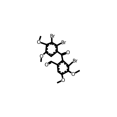 COc1cc(C(=O)c2c(C=O)cc(OC)c(OC)c2Br)c(Br)c(Br)c1OC